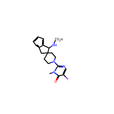 Cn1c(N2CCC3(CC2)Cc2ccccc2C3NC(=O)O)ncc(I)c1=O